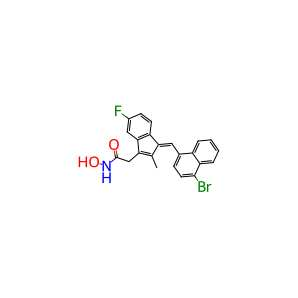 CC1=C(CC(=O)NO)c2cc(F)ccc2C1=Cc1ccc(Br)c2ccccc12